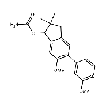 COc1cc(-c2cc3c(cc2OC)C(OC(N)=O)C(C)(C)C3)ccn1